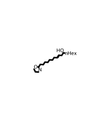 CCCCCCC(O)CC=CCCCCCCCC1=NCCCO1